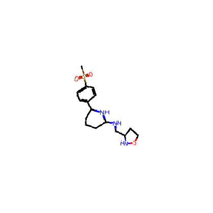 CS(=O)(=O)c1ccc(C2CCCC(NCC3CCON3)N2)cc1